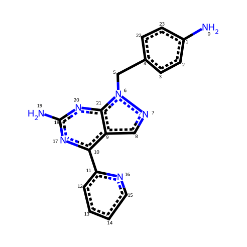 Nc1ccc(Cn2ncc3c(-c4ccccn4)nc(N)nc32)cc1